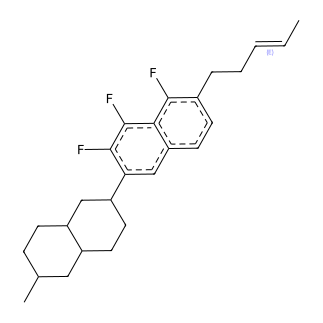 C/C=C/CCc1ccc2cc(C3CCC4CC(C)CCC4C3)c(F)c(F)c2c1F